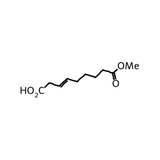 COC(=O)CCCCC=CCC(=O)O